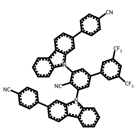 N#Cc1ccc(-c2ccc3c4ccccc4n(-c4cc(-c5cc(C(F)(F)F)cc(C(F)(F)F)c5)cc(-n5c6ccccc6c6ccc(-c7ccc(C#N)cc7)cc65)c4C#N)c3c2)cc1